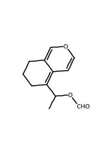 CC(OC=O)C1=C2C=COC=C2CCC1